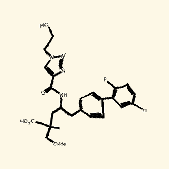 COCC(C)(CC(Cc1ccc(-c2cc(Cl)ccc2F)cc1)NC(=O)c1cn(CCO)nn1)C(=O)O